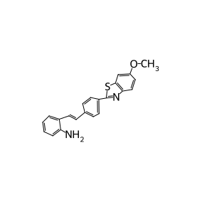 COc1ccc2nc(-c3ccc(C=Cc4ccccc4N)cc3)sc2c1